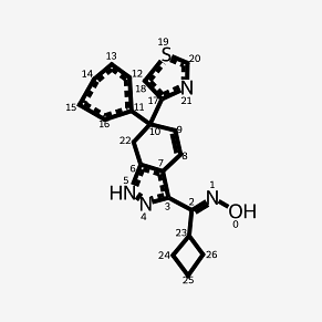 ON=C(c1n[nH]c2c1C=CC(c1ccccc1)(c1cscn1)C2)C1CCC1